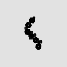 Cc1ccc(N2CCC(Oc3ccc4nc(C(=O)NC5CCN(C(=O)c6ccncc6)CC5)oc4c3)CC2)cc1